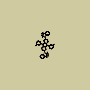 Cc1cccc(-c2c3ccc(N4c5ccccc5C(C)(C)C4(C)C)cc3c(-c3cccc(C)c3)c3ccc(N4c5ccccc5C(C)(C)C4(C)C)cc23)c1